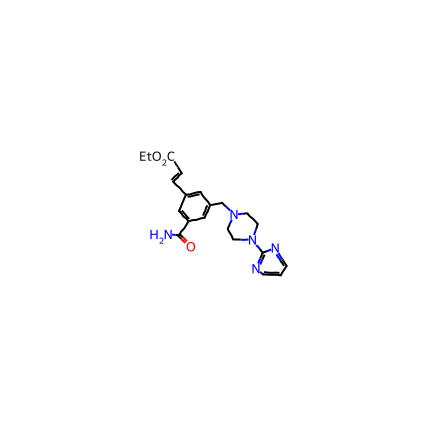 CCOC(=O)C=Cc1cc(CN2CCN(c3ncccn3)CC2)cc(C(N)=O)c1